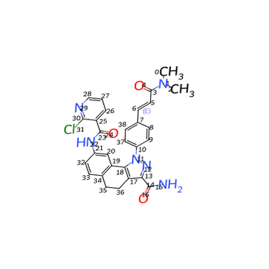 CN(C)C(=O)/C=C/c1ccc(-n2nc(C(N)=O)c3c2-c2cc(NC(=O)c4cccnc4Cl)ccc2CC3)cc1